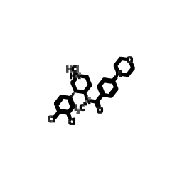 CN(C(=O)c1ccc(N2CCOCC2)cc1)[C@@H]1CCNC[C@H]1c1ccc(Cl)c(Cl)c1.Cl